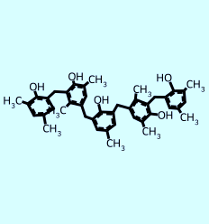 Cc1cc(C)c(O)c(Cc2c(C)c(Cc3cc(C)cc(Cc4cc(C)c(O)c(Cc5cc(C)cc(C)c5O)c4C)c3O)cc(C)c2O)c1